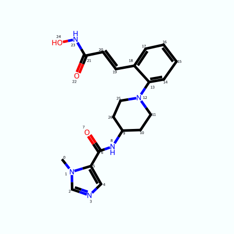 Cn1cncc1C(=O)NC1CCN(c2ccccc2C=CC(=O)NO)CC1